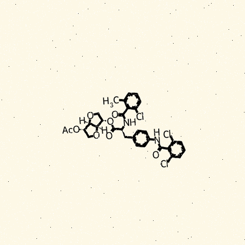 CC(=O)O[C@H]1CO[C@H]2[C@@H]1OC[C@@H]2OC(=O)[C@H](Cc1ccc(NC(=O)c2c(Cl)cccc2Cl)cc1)NC(=O)c1c(C)cccc1Cl